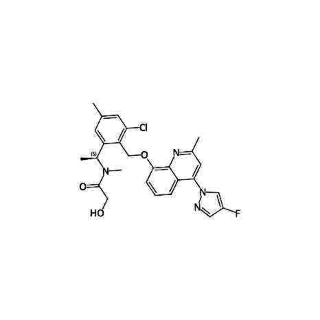 Cc1cc(Cl)c(COc2cccc3c(-n4cc(F)cn4)cc(C)nc23)c([C@H](C)N(C)C(=O)CO)c1